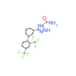 NC(=O)c1nc(-c2cccc(-c3ccc(C(F)(F)F)cc3C(F)(F)F)c2)n[nH]1